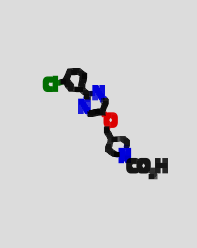 O=C(O)N1CCC(COc2cnc(-c3cccc(Cl)c3)nc2)CC1